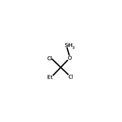 CCC(Cl)(Cl)O[SiH3]